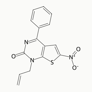 C=CCn1c(=O)nc(-c2ccccc2)c2cc([N+](=O)[O-])sc21